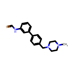 CN1CCN(Cc2ccc(-c3cccc(NC=S)c3)cc2)CC1